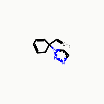 C=CC1(n2ccnn2)C=CC=CC1